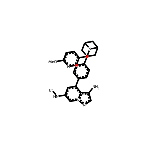 CCNc1cc(-c2ccc(N3CC4CC(C3)N4Cc3ccc(OC)nc3)nc2)c2c(N)cnn2c1